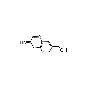 N=C1C=Nc2cc(CO)ccc2C1